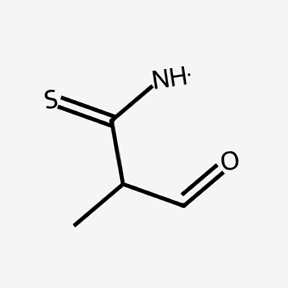 CC(C=O)C([NH])=S